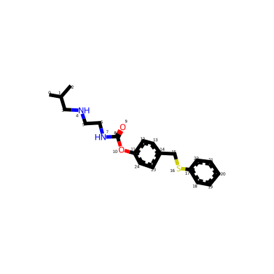 CC(C)CNCCNC(=O)Oc1ccc(CSc2ccccc2)cc1